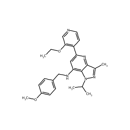 CCOc1cnccc1-c1cc(NCc2ccc(OC)cc2)c2c(n1)c(C)nn2C(C)C